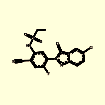 CCS(=O)(=O)Nc1cc(-n2nc3ccc(Cl)cn3c2=O)c(F)cc1C#N